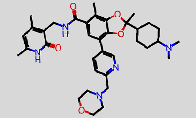 Cc1cc(C)c(CNC(=O)c2cc(-c3ccc(CN4CCOCC4)nc3)c3c(c2C)OC(C)(C2CCC(N(C)C)CC2)O3)c(=O)[nH]1